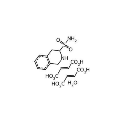 NS(=O)(=O)C1Cc2ccccc2CN1.O.O=C(O)/C=C/C(=O)O.O=C(O)/C=C/C(=O)O